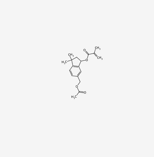 C=C(C)C(=O)OC1CC(C)(C)c2ccc(COC(C)=O)cc21